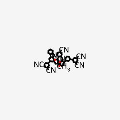 Cc1cccc(-c2c(-n3c4ccccc4c4cc(-c5cc(C#N)cc(C#N)c5)ccc43)cc(C#N)cc2-n2c3ccccc3c3cc(-c4cc(C#N)cc(C#N)c4)ccc32)n1